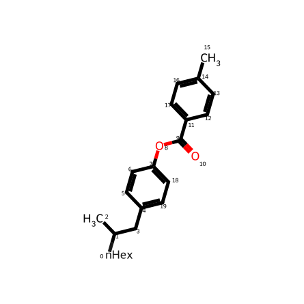 CCCCCCC(C)Cc1ccc(OC(=O)c2ccc(C)cc2)cc1